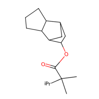 CC(C)C(C)(C)C(=O)OC1CC2CC1C1CCCC21